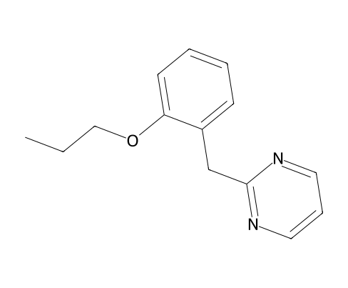 CCCOc1ccccc1Cc1ncccn1